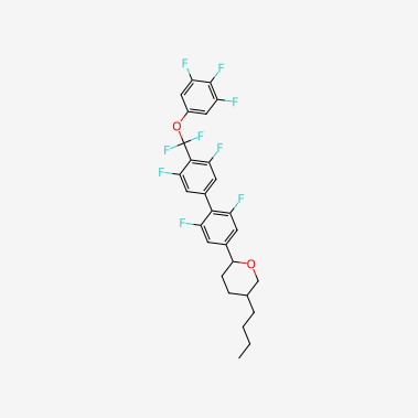 CCCCC1CCC(c2cc(F)c(-c3cc(F)c(C(F)(F)Oc4cc(F)c(F)c(F)c4)c(F)c3)c(F)c2)OC1